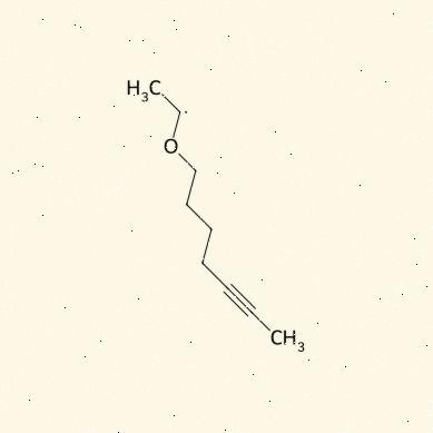 CC#CCCCCO[CH]C